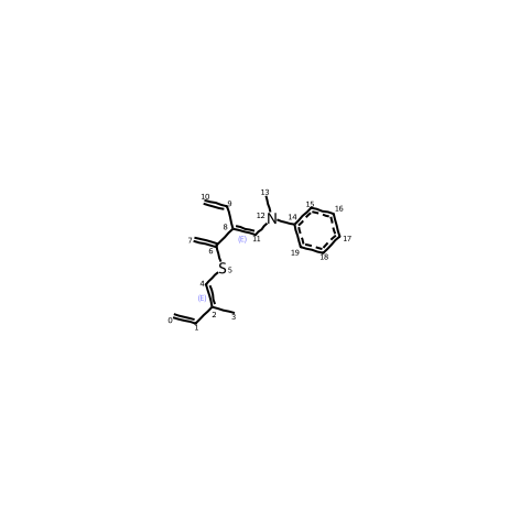 C=C/C(C)=C/SC(=C)/C(C=C)=C/N(C)c1ccccc1